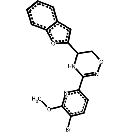 COc1nc(C2=NOCC(c3cc4ccccc4o3)N2)ccc1Br